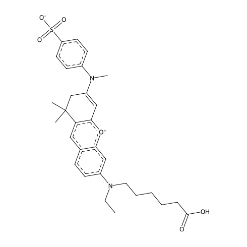 CCN(CCCCCC(=O)O)c1ccc2cc3c([o+]c2c1)C=C(N(C)c1ccc(S(=O)(=O)[O-])cc1)CC3(C)C